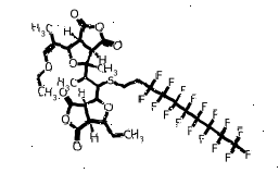 CCO/C=C(/C)C1OC(C)(C(C)C(SCCC(F)(F)C(F)(F)C(F)(F)C(F)(F)C(F)(F)C(F)(F)C(F)(F)C(F)(F)F)C2OC(CC)[C@@H]3C(=O)OC(=O)[C@H]23)[C@H]2C(=O)OC(=O)[C@@H]12